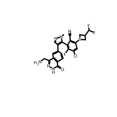 Cn1ncc(-c2ccc3c(=O)[nH]nc(CN)c3c2)c1-c1c(F)c(Cl)cc(N2CC(C(F)F)C2)c1C#N